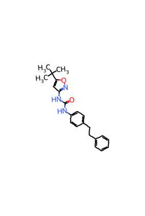 CC(C)(C)c1cc(NC(=O)Nc2ccc(CCc3ccccc3)cc2)no1